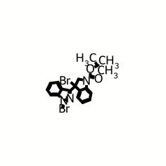 CC(C)(C)OC(=O)N1CC(Br)(c2nn(Br)c3ccccc23)c2ccccc21